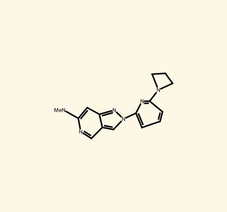 CNc1cc2nn(-c3cccc(N4CCC4)n3)cc2cn1